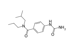 CCCN(CC(C)C)C(=O)c1ccc(NC(N)=O)cc1